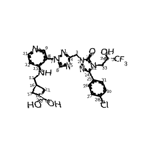 O=c1n(Cc2ncn(-c3cnccc3NCC3CS(O)(O)C3)n2)nc(-c2ccc(Cl)cc2)n1C[C@H](O)C(F)(F)F